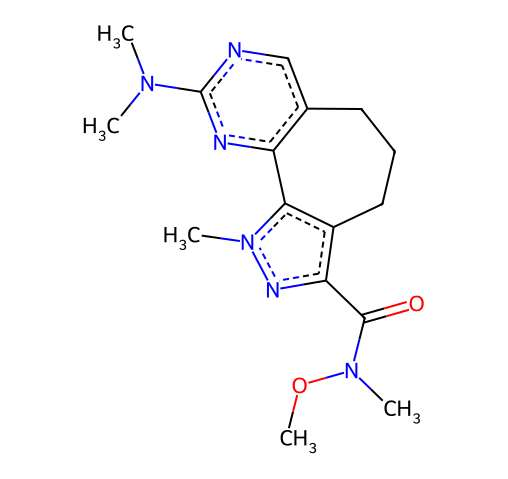 CON(C)C(=O)c1nn(C)c2c1CCCc1cnc(N(C)C)nc1-2